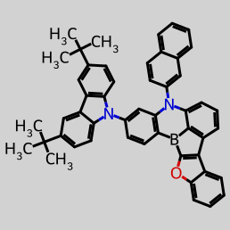 CC(C)(C)c1ccc2c(c1)c1cc(C(C)(C)C)ccc1n2-c1ccc2c(c1)N(c1ccc3ccccc3c1)c1cccc3c1B2c1oc2ccccc2c1-3